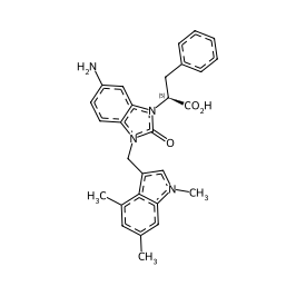 Cc1cc(C)c2c(Cn3c(=O)n([C@@H](Cc4ccccc4)C(=O)O)c4cc(N)ccc43)cn(C)c2c1